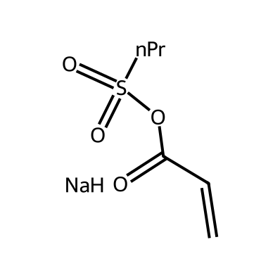 C=CC(=O)OS(=O)(=O)CCC.[NaH]